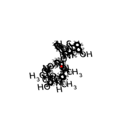 CCc1cccc2cc(O)cc(-c3ncc4c(N5CC6CCC(C5)N6)nc(OC[C@]56CCCN5[C@@H](COc5cc([C@H](C(=O)N7C[C@H](O)C[C@H]7C(=O)N[C@@H](C)c7ccc(-c8scnc8C)cc7)C(C)C)on5)CC6)nc4c3F)c12